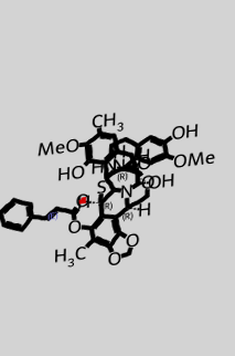 COc1cc2c(cc1O)CCN[C@]21CS[C@@H]2c3c(OC(=O)/C=C/c4ccccc4)c(C)c4c(c3[C@H](COC1=O)N1C2C2N[C@@H](Cc3cc(C)c(OC)c(O)c32)[C@@H]1O)OCO4